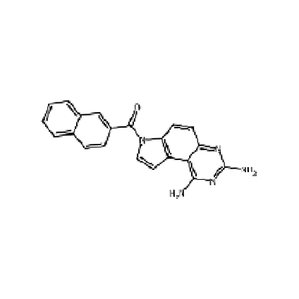 Nc1nc(N)c2c(ccc3c2ccn3C(=O)c2ccc3ccccc3c2)n1